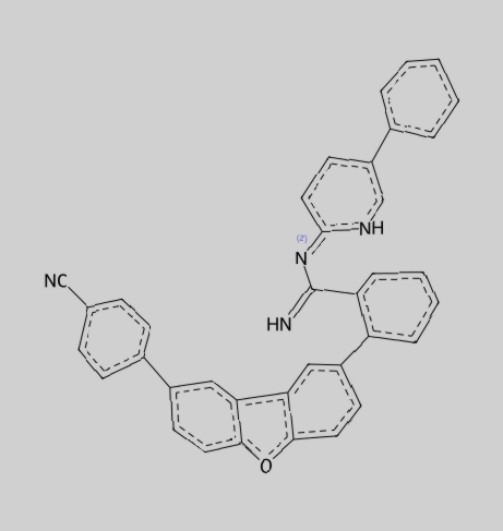 N#Cc1ccc(-c2ccc3oc4ccc(-c5ccccc5C(=N)/N=c5/ccc(-c6ccccc6)c[nH]5)cc4c3c2)cc1